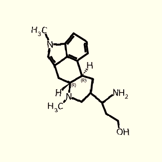 CN1CC(C(N)CCO)C[C@@H]2c3cccc4c3c(cn4C)C[C@H]21